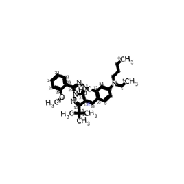 CCCCN(CC)c1ccc(/C=c2/c(C(C)(C)C)nn3c(-c4ccccc4OC)nnc23)c(C)c1